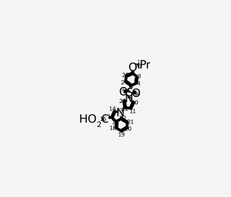 CC(C)Oc1ccc(S(=O)(=O)n2ccc(-n3cc(C(=O)O)c4ccccc43)c2)cc1